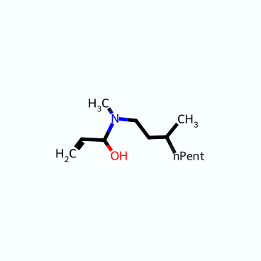 C=CC(O)N(C)CCC(C)CCCCC